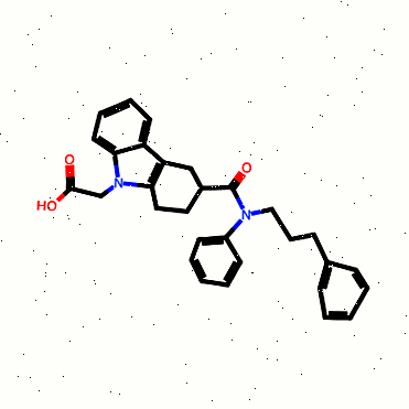 O=C(O)Cn1c2c(c3ccccc31)CC(C(=O)N(CCCc1ccccc1)c1ccccc1)CC2